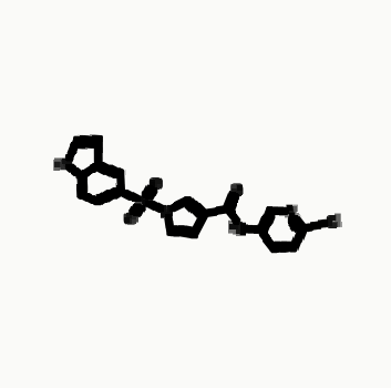 O=C(Nc1ccc(Cl)nc1)c1ccn(S(=O)(=O)c2ccc3[nH]ccc3c2)c1